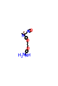 Cc1nc(-c2ccc(OCCCCCOc3ccc(C(=N)N)cc3)cc2)c(CCN2CCOCC2)s1